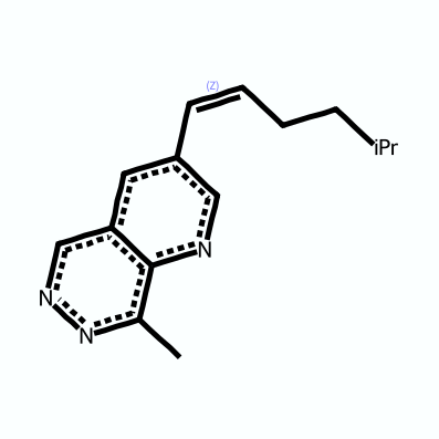 Cc1nncc2cc(/C=C\CCC(C)C)cnc12